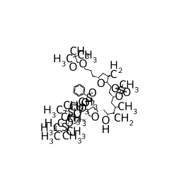 C=C1C[C@H](CCCOC(=O)C(C)(C)C)OC1CC[C@H](C[C@@H](C)C(=C)C(O)C[C@@H]1O[C@H](C[C@@H](CO[Si](C)(C)C(C)(C)C)O[Si](C)(C)C(C)(C)C)[C@H](OC)[C@H]1CS(=O)(=O)c1ccccc1)OS(C)(=O)=O